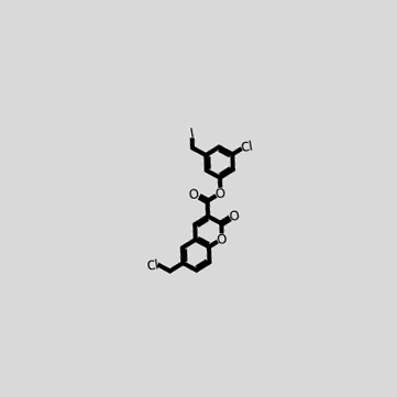 O=C(Oc1cc(Cl)cc(CI)c1)c1cc2cc(CCl)ccc2oc1=O